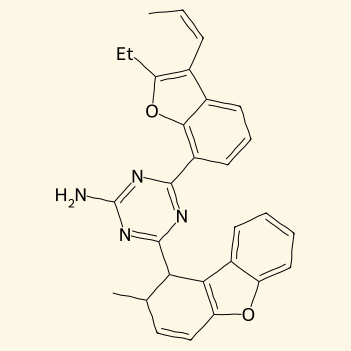 C/C=C\c1c(CC)oc2c(-c3nc(N)nc(C4c5c(oc6ccccc56)C=CC4C)n3)cccc12